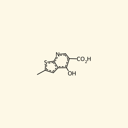 Cc1cc2c(O)c(C(=O)O)cnc2s1